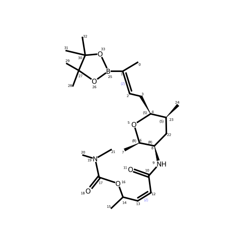 C/C(=C\C[C@@H]1O[C@H](C)[C@H](NC(=O)/C=C\C(C)OC(=O)N(C)C)C[C@@H]1C)B1OC(C)(C)C(C)(C)O1